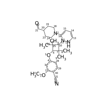 COc1cc(OC2C(C)(C)C(N3NC=CC=C3N3CCC(C=O)CC3)C2(C)C)ccc1C#N